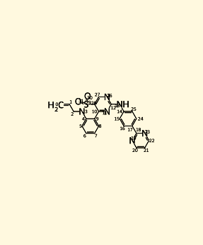 C=CCN1c2ccccc2-c2nc(Nc3ccc(-c4ncccn4)cc3)ncc2S1(=O)=O